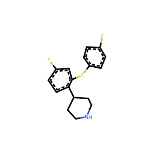 Fc1ccc(Sc2cc(F)ccc2C2CCNCC2)cc1